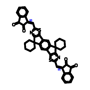 O=C1C(=O)c2ccccc2/C1=C/c1nc2c(s1)-c1cc3c(cc1C21CCCCC1)-c1sc(/C=C2\C(=O)C(=O)c4ccccc42)nc1C31CCCCC1